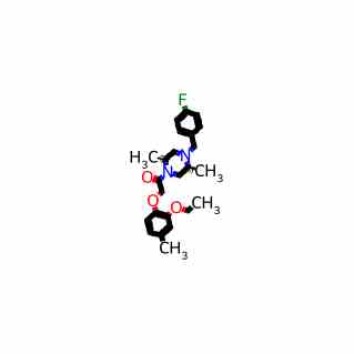 CCOc1cc(C)ccc1OCC(=O)N1C[C@H](C)N(Cc2ccc(F)cc2)C[C@H]1C